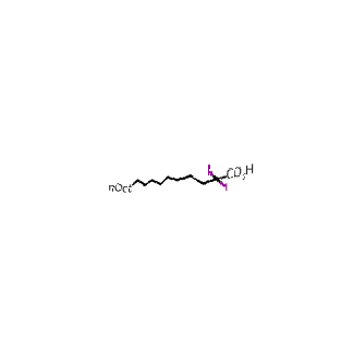 CCCCCCCCCCCCCCCCC(I)(I)C(=O)O